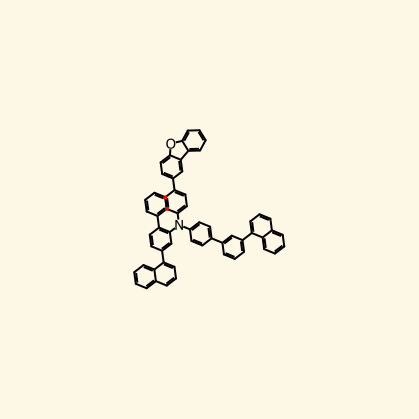 c1ccc(-c2ccc(-c3cccc4ccccc34)cc2N(c2ccc(-c3cccc(-c4cccc5ccccc45)c3)cc2)c2ccc(-c3ccc4oc5ccccc5c4c3)cc2)cc1